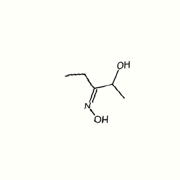 CCC(=NO)C(C)O